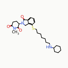 CN1C(=O)CCC(N2Cc3c(SCCCCCCCNC4CCCCC4)cccc3C2=O)C1=O